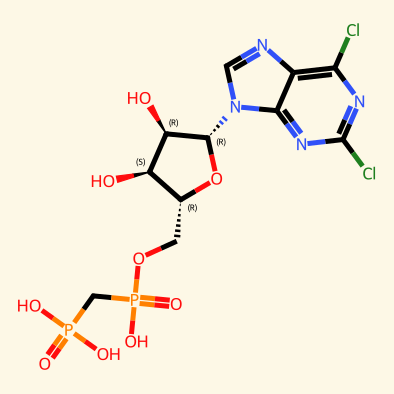 O=P(O)(O)CP(=O)(O)OC[C@H]1O[C@@H](n2cnc3c(Cl)nc(Cl)nc32)[C@H](O)[C@@H]1O